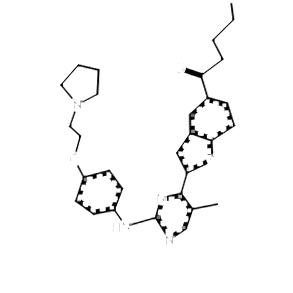 CCCCC(=O)c1ccc2sc(-c3nc(Nc4ccc(OCCN5CCCC5)cc4)ncc3C)cc2c1